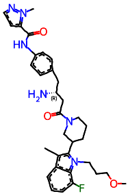 COCCCn1c(C2CCCN(C(=O)C[C@H](N)Cc3ccc(NC(=O)c4ccnn4C)cc3)C2)c(C)c2cccc(F)c21